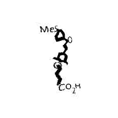 CSc1ccc(C(=O)C=Cc2cc(C)c(OCCCCC(=O)O)c(C)c2)cc1